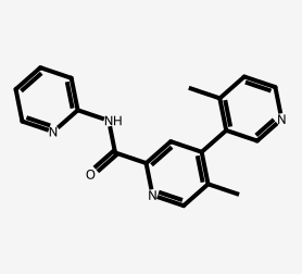 Cc1ccncc1-c1cc(C(=O)Nc2ccccn2)ncc1C